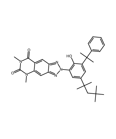 Cn1c(=O)c2cc3nn(-c4cc(C(C)(C)CC(C)(C)C)cc(C(C)(C)c5ccccc5)c4O)nc3cc2n(C)c1=O